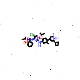 Cc1cc(Nc2ncc(Cl)c(Nc3ccccc3S(=O)(=O)C(C)C)n2)c(OC(C)C)cc1C1=C[C@H](C2CCC2)N[C@@H](C)C1